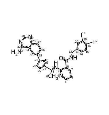 CC(Nc1ncccc1C(=O)NCc1ccc(I)c(I)c1)c1ccc(-c2ccc3ncnc(N)c3c2)s1